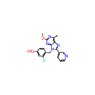 COc1nc(C)c2nc(-c3cccnc3)n(Cc3ccc(O)cc3F)c2n1